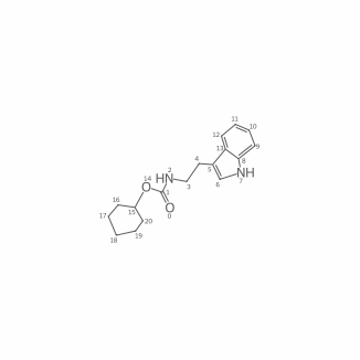 O=C(NCCc1c[nH]c2ccccc12)OC1CCCCC1